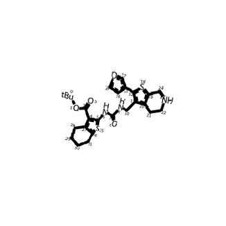 CC(C)(C)OC(=O)c1c(NC(=O)NCc2c(-c3ccoc3)sc3c2CCNC3)sc2c1CCCC2